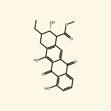 CCC1Cc2c(cc3c(c2O)C(=O)c2c(O)cccc2C3=O)C(C(=O)OC)[C@H]1O